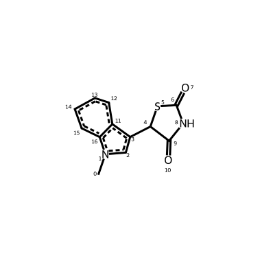 Cn1cc(C2SC(=O)NC2=O)c2ccccc21